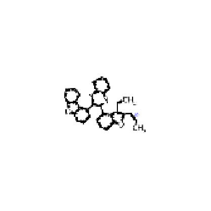 C=Cc1c(/C=C\C)oc2cccc(-c3nc4ccccc4nc3-c3cccc4oc5ccccc5c34)c12